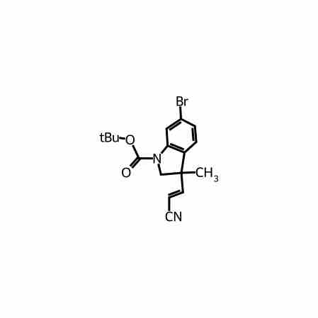 CC(C)(C)OC(=O)N1CC(C)(C=CC#N)c2ccc(Br)cc21